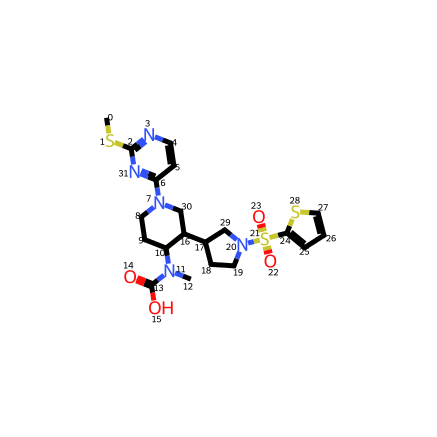 CSc1nccc(N2CCC(N(C)C(=O)O)C(C3CCN(S(=O)(=O)c4cccs4)C3)C2)n1